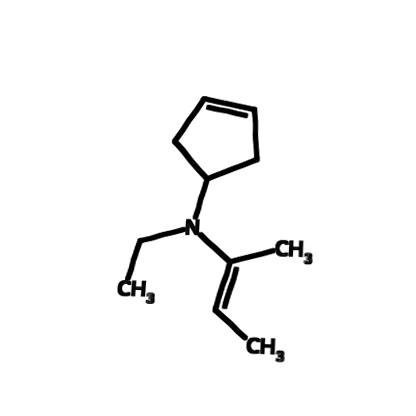 C/C=C(\C)N(CC)C1CC=CC1